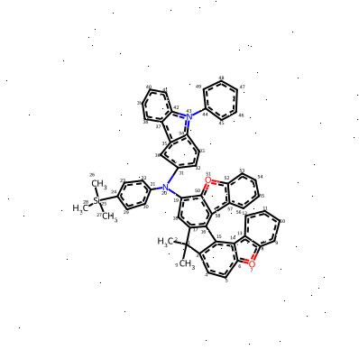 CC1(C)c2ccc3oc4ccccc4c3c2-c2c1cc(N(c1ccc([Si](C)(C)C)cc1)c1ccc3c(c1)c1ccccc1n3-c1ccccc1)c1oc3ccccc3c21